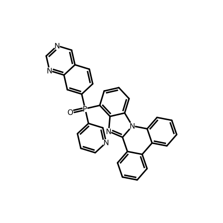 O=P(c1cccnc1)(c1ccc2cncnc2c1)c1cccc2c1nc1c3ccccc3c3ccccc3n21